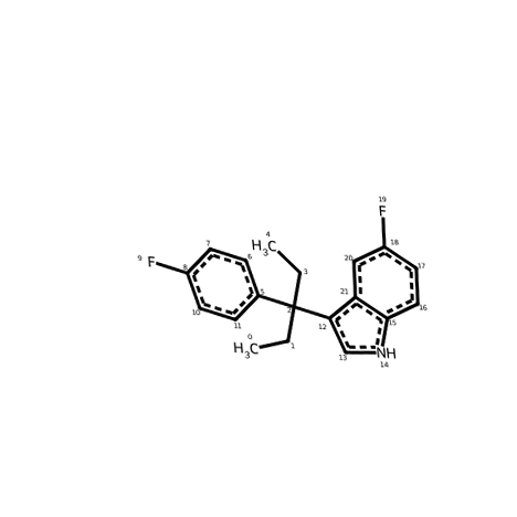 CCC(CC)(c1ccc(F)cc1)c1c[nH]c2ccc(F)cc12